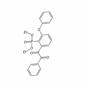 CCOP(=O)(OCC)c1c(Oc2ccccc2)cccc1C(=O)C(=O)c1ccccc1